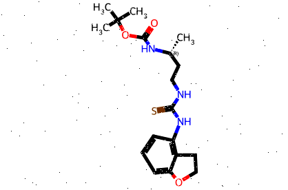 C[C@H](CCNC(=S)Nc1cccc2c1CCO2)NC(=O)OC(C)(C)C